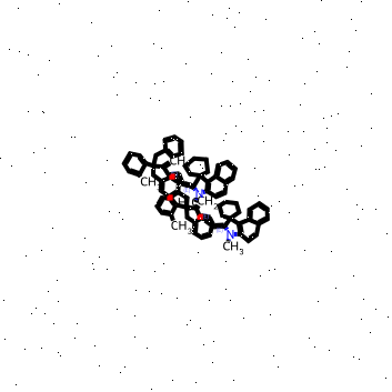 C=C(/C=C/C=C1/N(C)c2ccc3ccccc3c2C12CCCCC2)C(Cc1ccccc1)(Cc1ccc(CC(Cc2ccccc2)(C(=C)/C=C/C=C2/N(C)c3ccc4ccccc4c3C23CCCCC3)c2ccccc2C)cc1)c1ccccc1C